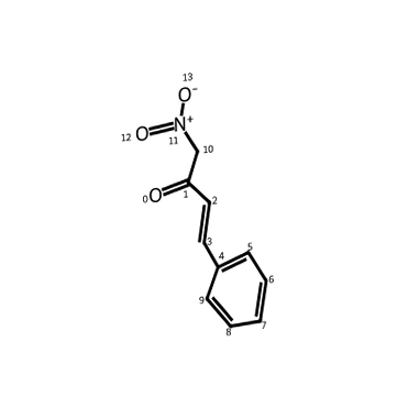 O=C(C=Cc1ccccc1)C[N+](=O)[O-]